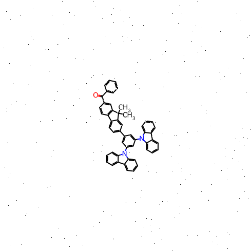 CC1(C)c2cc(C(=O)c3ccccc3)ccc2-c2ccc(-c3cc(-n4c5ccccc5c5ccccc54)cc(-n4c5ccccc5c5ccccc54)c3)cc21